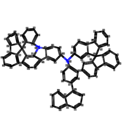 c1ccc2c(c1)-c1ccccc1C21c2ccccc2-c2ccc(N(c3ccc(-c4cccc5ccccc45)cc3)c3ccc4c(c3)c3cccc5c3n4-c3ccccc3C53c4ccccc4-c4ccccc43)cc21